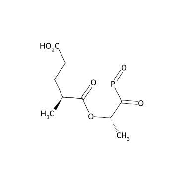 C[C@H](OC(=O)[C@@H](C)CCC(=O)O)C(=O)P=O